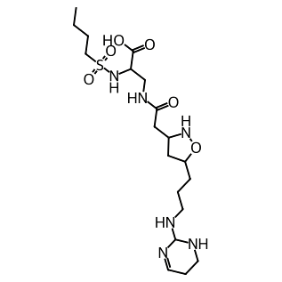 CCCCS(=O)(=O)NC(CNC(=O)CC1CC(CCCNC2N=CCCN2)ON1)C(=O)O